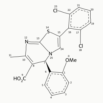 COc1ccccc1[C@H]1C(C(=O)O)=C(C)N=C2SC(c3c(Cl)cccc3Cl)=CN21